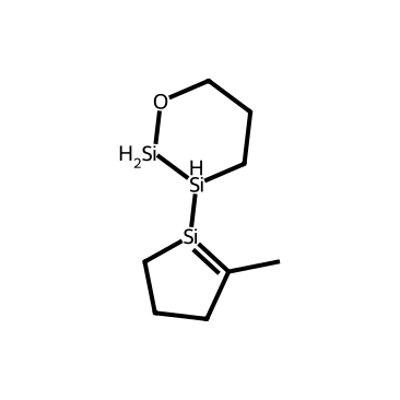 CC1=[Si]([SiH]2CCCO[SiH2]2)CCC1